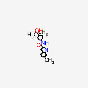 Cc1ccc2cc(C(=O)N[C@H]3CC[C@H](C(C)(C)O)CC3)cnc2c1